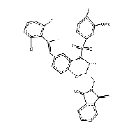 COc1cc(S(=O)(=O)N2c3cc(C=C(C)c4c(F)cccc4Cl)ccc3O[C@@H](CN3C(=O)c4ccccc4C3=O)[C@H]2C)ccc1F